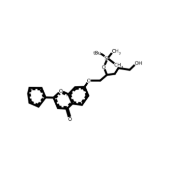 CC(C)(C)[Si](C)(C)OC(CCCO)COc1ccc2c(=O)cc(-c3ccccc3)oc2c1